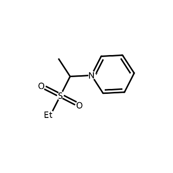 CCS(=O)(=O)C(C)[n+]1ccccc1